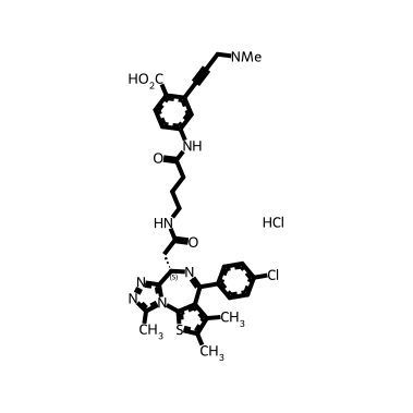 CNCC#Cc1cc(NC(=O)CCCNC(=O)C[C@@H]2N=C(c3ccc(Cl)cc3)c3c(sc(C)c3C)-n3c(C)nnc32)ccc1C(=O)O.Cl